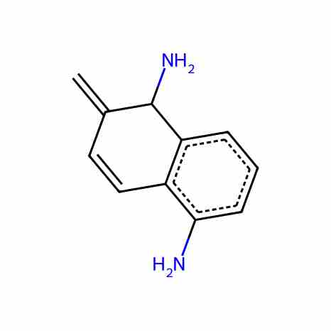 C=C1C=Cc2c(N)cccc2C1N